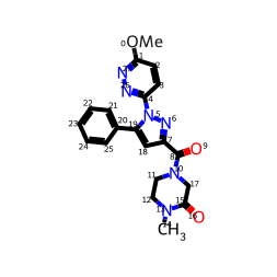 COc1ccc(-n2nc(C(=O)N3CCN(C)C(=O)C3)cc2-c2ccccc2)nn1